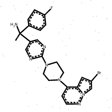 CC(N)(c1ccc(F)cc1)c1cnc(N2CCN(c3ccnn4cc(Br)cc34)CC2)nc1